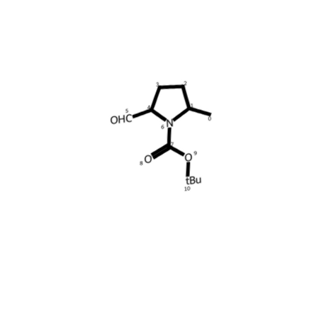 CC1CCC(C=O)N1C(=O)OC(C)(C)C